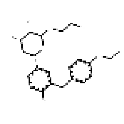 CCOc1ccc(Cc2cc([C@@H]3OC(OCCS)[C@@H](O)[C@H](O)[C@H]3O)ccc2Cl)cc1